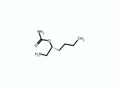 CCCC[C@H](CN)OC(N)=O